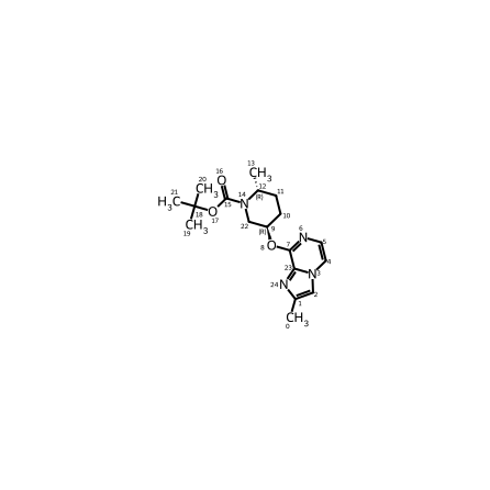 Cc1cn2ccnc(O[C@@H]3CC[C@@H](C)N(C(=O)OC(C)(C)C)C3)c2n1